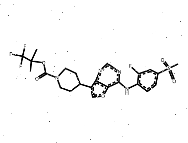 CC(C)(OC(=O)N1CCC(c2coc3c(Nc4ccc(S(C)(=O)=O)cc4F)ncnc23)CC1)C(F)(F)F